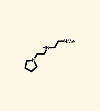 CNCCNCCN1CCCC1